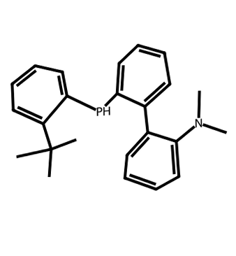 CN(C)c1ccccc1-c1ccccc1Pc1ccccc1C(C)(C)C